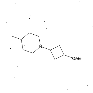 COC1CC(N2CCC(C)CC2)C1